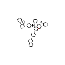 c1cc(-c2ccc(-c3ccc4ccccc4c3)cc2)cc(N(c2ccc(-c3cccc4c3oc3ccccc34)cc2)c2ccccc2-c2cccc3c2sc2ccccc23)c1